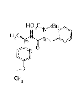 C[C@@H](NC(=O)[C@@H](Cc1ccccc1)N(C(=O)O)C(C)(C)C)c1ccc(OCC(F)(F)F)cn1